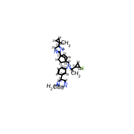 C=N/C=C(\C=N/CCCC)c1cccc(N(CC23CCC(C4=NCC(C5(C)CC5)=N4)(CC2)C3)C(=C)C2CC2F)c1